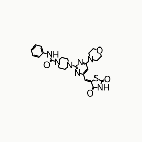 O=C1NC(=O)/C(=C/c2cc(N3CCOCC3)nc(N3CCN(C(=O)Nc4ccccc4)CC3)n2)S1